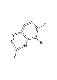 Fc1ccc2cnc(Cl)nc2c1Br